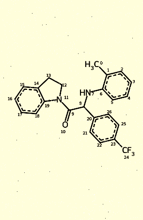 Cc1ccccc1NC(C(=O)N1CCc2ccccc21)c1ccc(C(F)(F)F)cc1